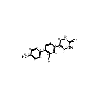 O=C1NN=C(c2ccc(-c3ccc(O)cc3)c(F)c2)CO1